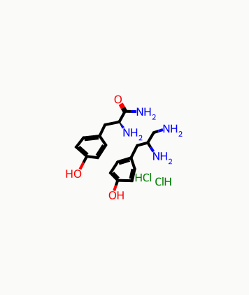 Cl.Cl.NC(=O)[C@@H](N)Cc1ccc(O)cc1.NCC(N)Cc1ccc(O)cc1